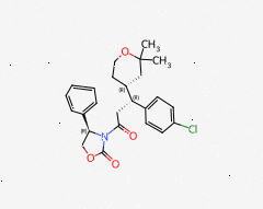 CC1(C)C[C@H]([C@@H](CC(=O)N2C(=O)OC[C@H]2c2ccccc2)c2ccc(Cl)cc2)CCO1